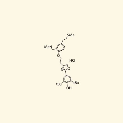 CNCc1cc(CCSC)ccc1OCCc1coc(-c2cc(C(C)(C)C)c(O)c(C(C)(C)C)c2)n1.Cl